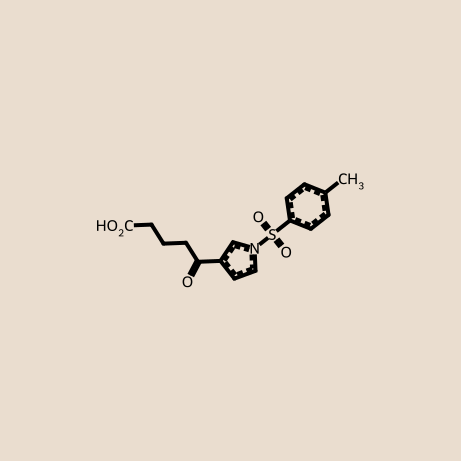 Cc1ccc(S(=O)(=O)n2ccc(C(=O)CCCC(=O)O)c2)cc1